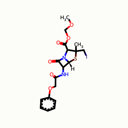 COCOC(=O)C1N2C(=O)C(NC(=O)COc3ccccc3)[C@H]2SC1(C)CI